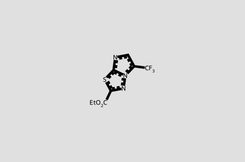 CCOC(=O)c1nn2c(C(F)(F)F)cnc2s1